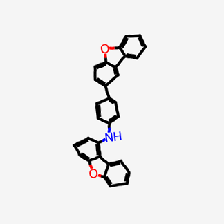 c1ccc2c(c1)oc1ccc(-c3ccc(Nc4cccc5oc6ccccc6c45)cc3)cc12